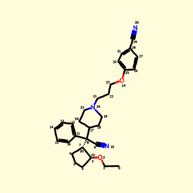 CCO[C@H]1CCC[C@@H]1C(C#N)(c1ccccc1)C1CCN(CCCOc2ccc(C#N)cc2)CC1